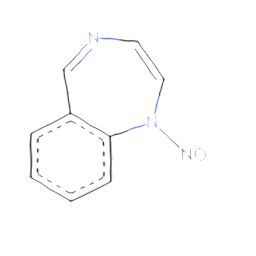 O=NN1C=CN=Cc2ccccc21